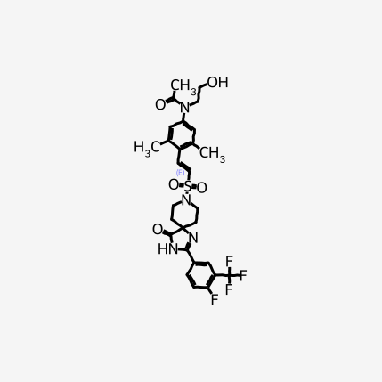 CC(=O)N(CCO)c1cc(C)c(/C=C/S(=O)(=O)N2CCC3(CC2)N=C(c2ccc(F)c(C(F)(F)F)c2)NC3=O)c(C)c1